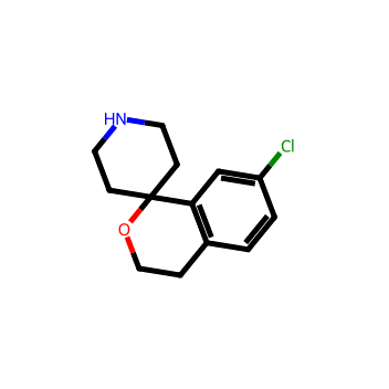 Clc1ccc2c(c1)C1(CCNCC1)OCC2